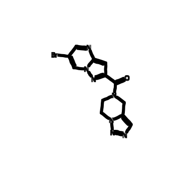 O=C(c1cc2ncc(Br)cn2n1)N1CCn2nncc2C1